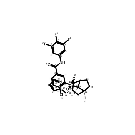 O=C(Nc1cc(F)c(F)c(F)c1)c1ccc(Cl)c(S(=O)(=O)[C@H]2C3CC[C@H]2C[C@H](Cn2cccn2)C3)c1